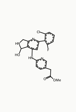 COC(=O)Cc1ccc(Nc2cc(-c3c(F)cccc3Cl)nc3c2C(O)NC3)nc1